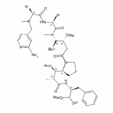 CC[C@H](C)[C@@H]([C@@H](CC(=O)N1CCC[C@H]1[C@H](OC)[C@@H](C)C(=O)N[C@@H](Cc1ccccc1)C(O)OC)OC)N(C)C(=O)[C@@H](NC(=O)[C@H](C(C)C)N(C)Cc1ccnc(N)c1)C(C)C